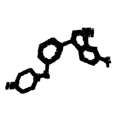 Fc1ccc2c(-c3cccc(SN4CCNCC4)c3)c[nH]c2c1